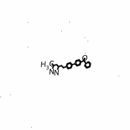 CC(C#N)CC(C#N)CCc1ccc(-c2ccc(C(=O)c3ccccc3)cc2)cc1